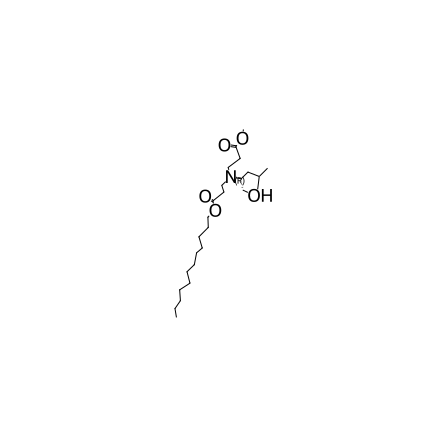 CCCCCCCCCCCCOC(=O)CCN(CCC(=O)OC)[C@@H](CO)CC(C)C